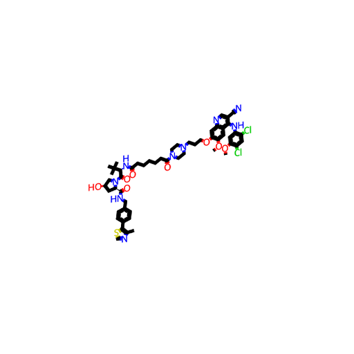 COc1cc(Nc2c(C#N)cnc3cc(OCCCN4CCN(C(=O)CCCCCC(=O)N[C@H](C(=O)N5C[C@H](O)C[C@H]5C(=O)NCc5ccc(-c6scnc6C)cc5)C(C)(C)C)CC4)c(OC)cc23)c(Cl)cc1Cl